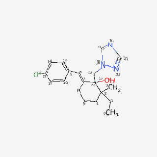 CCC1(C)CCCC(=Cc2ccc(Cl)cc2)C1(O)Cn1cncn1